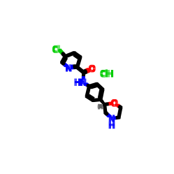 Cl.O=C(Nc1ccc([C@@H]2CNCCO2)cc1)c1ccc(Cl)cn1